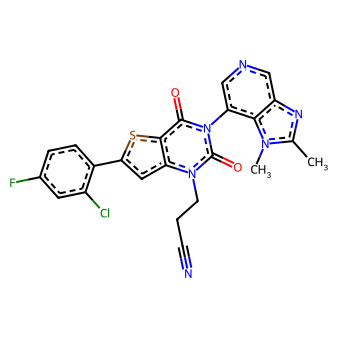 Cc1nc2cncc(-n3c(=O)c4sc(-c5ccc(F)cc5Cl)cc4n(CCC#N)c3=O)c2n1C